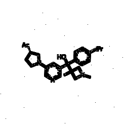 CC(=O)[C@H]1CCN(c2cncc(C(O)(c3ccc(C(C)C)cc3)C3(C)CN(C)C3)c2)C1